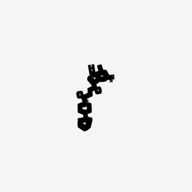 Cc1cc(F)cc2c(C(=O)CCC(=O)N3CCC(c4ccccc4)CC3)c[nH]c12